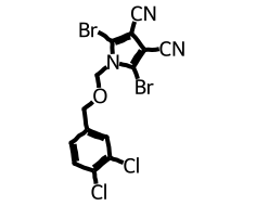 N#Cc1c(C#N)c(Br)n(COCc2ccc(Cl)c(Cl)c2)c1Br